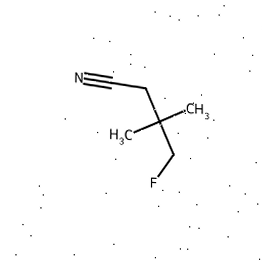 CC(C)(CF)CC#N